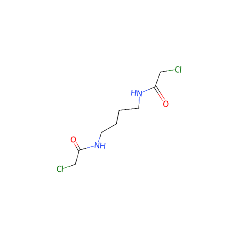 O=C(CCl)NCCCCNC(=O)CCl